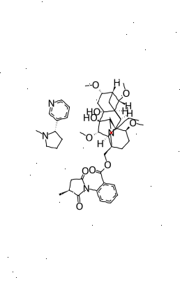 CCN1C[C@]2(COC(=O)c3ccccc3N3C(=O)C[C@H](C)C3=O)CC[C@H](OC)[C@]34C1[C@](O)([C@@H](OC)[C@H]23)[C@@]1(O)C[C@H](OC)[C@H]2C[C@@H]4[C@@H]1[C@H]2OC.CN1CCC[C@H]1c1cccnc1